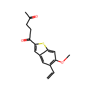 C=Cc1cc2cc(C(=O)CCC(C)=O)sc2cc1OC